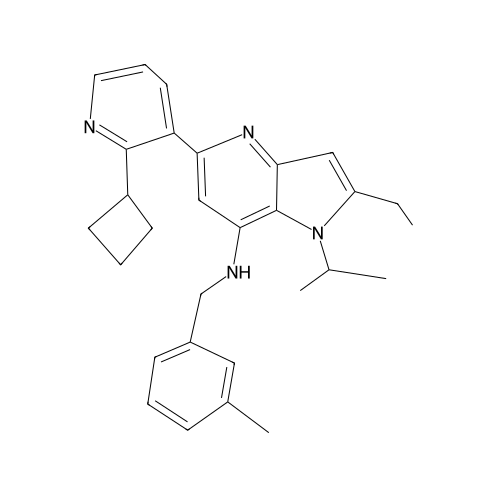 CCc1cc2nc(-c3cccnc3C3CCC3)cc(NCc3cccc(C)c3)c2n1C(C)C